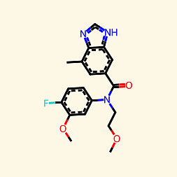 COCCN(C(=O)c1cc(C)c2nc[nH]c2c1)c1ccc(F)c(OC)c1